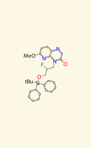 COc1ccc2ncc(=O)n(CC(F)CO[Si](c3ccccc3)(c3ccccc3)C(C)(C)C)c2n1